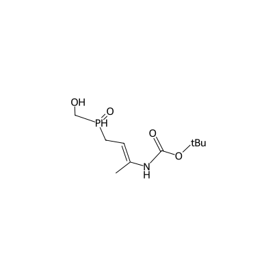 CC(=CC[PH](=O)CO)NC(=O)OC(C)(C)C